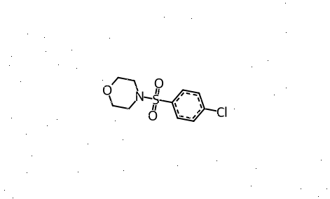 O=S(=O)(c1ccc(Cl)cc1)N1CCOCC1